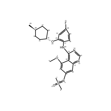 COc1cc(N=S(C)(C)=O)cc2ncnc(Nc3ccc(F)cc3O[C@H]3CC[C@H](C)CC3)c12